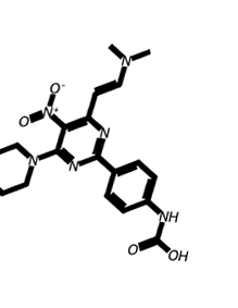 CN(C)/C=C/c1nc(-c2ccc(NC(=O)O)cc2)nc(N2CCOCC2)c1[N+](=O)[O-]